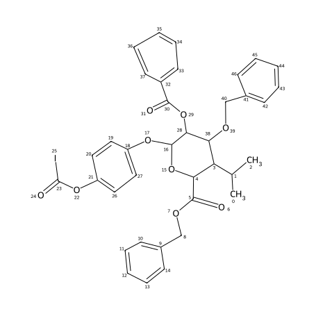 CC(C)C1C(C(=O)OCc2ccccc2)OC(Oc2ccc(OC(=O)I)cc2)C(OC(=O)c2ccccc2)C1OCc1ccccc1